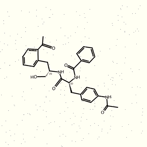 CC(=O)Nc1ccc(C[C@H](NC(=O)c2ccccc2)C(=O)N[C@H](CO)Cc2ccccc2C(C)=O)cc1